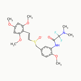 COc1cc(OC)c(/C=C/[S+]([O-])Cc2ccc(OC)c(NC(=O)C(F)(F)N(C)C)c2)c(OC)c1